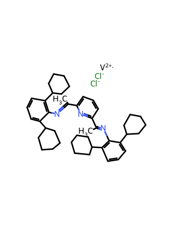 CC(=Nc1c(C2CCCCC2)cccc1C1CCCCC1)c1cccc(C(C)=Nc2c(C3CCCCC3)cccc2C2CCCCC2)n1.[Cl-].[Cl-].[V+2]